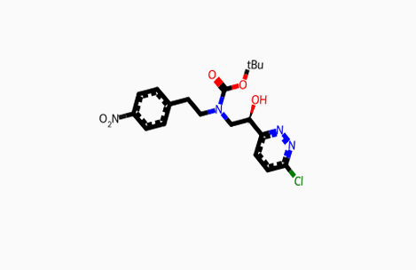 CC(C)(C)OC(=O)N(CCc1ccc([N+](=O)[O-])cc1)C[C@@H](O)c1ccc(Cl)nn1